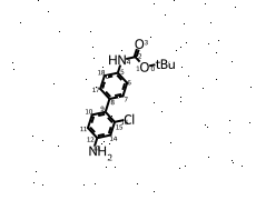 CC(C)(C)OC(=O)Nc1ccc(-c2ccc(N)cc2Cl)cc1